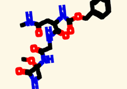 CNC(=O)CC(NC(=O)OCc1ccccc1)C(=O)NCC(=O)NC1(OC)CNC1=O